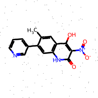 Cc1cc2c(O)c([N+](=O)[O-])c(=O)[nH]c2cc1-c1cccnc1